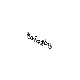 O=C(Nc1ccc(OC(=O)N2CCC(On3cccn3)CC2)nc1)c1ccc(CN2CCCCC2)cc1